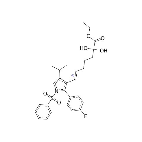 CCOC(=O)C(O)(O)CCC/C=C/c1c(C(C)C)cn(S(=O)(=O)c2ccccc2)c1-c1ccc(F)cc1